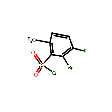 O=S(=O)(Cl)c1c(C(F)(F)F)ccc(F)c1Br